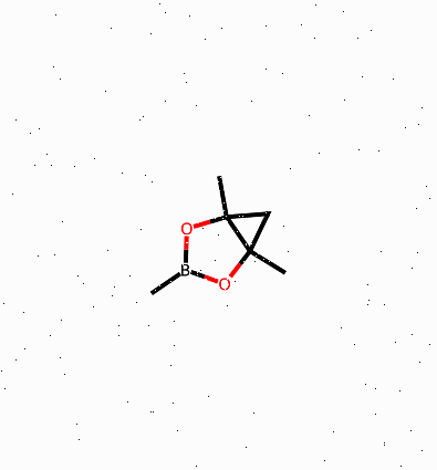 CB1OC2(C)CC2(C)O1